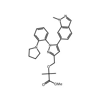 COC(=O)C(C)(C)OCc1cc(-c2ccc3cnn(C)c3c2)n(-c2ccccc2N2CCCC2)n1